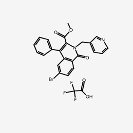 COC(=O)c1c(-c2ccccc2)c2cc(Br)ccc2c(=O)n1Cc1cccnc1.O=C(O)C(F)(F)F